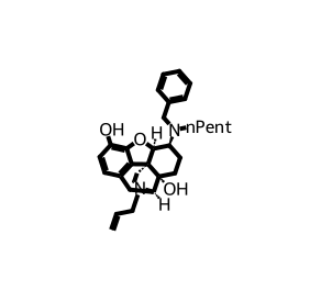 C=CCN1CC[C@]23c4c5ccc(O)c4O[C@H]2[C@@H](N(CCCCC)Cc2ccccc2)CC[C@@]3(O)[C@H]1C5